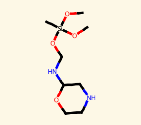 CO[Si](C)(OC)OCNC1CNCCO1